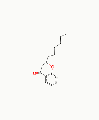 CCCCCCC1CC(=O)c2ccccc2O1